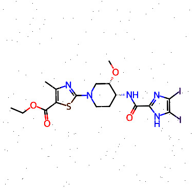 CCOC(=O)c1sc(N2CC[C@@H](NC(=O)c3nc(I)c(I)[nH]3)[C@@H](OC)C2)nc1C